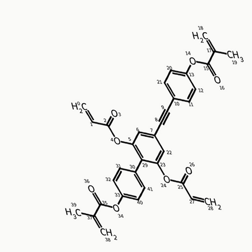 C=CC(=O)Oc1cc(C#Cc2ccc(OC(=O)C(=C)C)cc2)cc(OC(=O)C=C)c1-c1ccc(OC(=O)C(=C)C)cc1